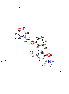 C=C(NC)c1cc(C=O)cn(Cc2cccc(OCCN3CCOCC3)c2)c1=O